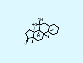 C[C@]12CCCCC1CC(O)(O)[C@@H]1[C@H]2CC[C@]2(C)C(=O)CC[C@@H]12